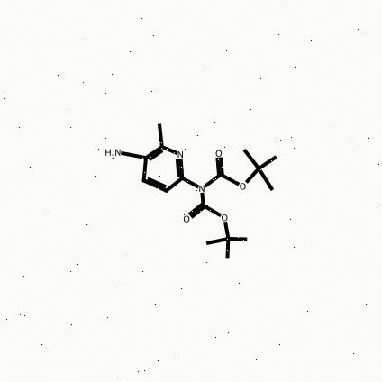 Cc1nc(N(C(=O)OC(C)(C)C)C(=O)OC(C)(C)C)ccc1N